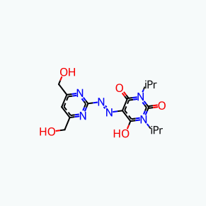 CC(C)n1c(O)c(N=Nc2nc(CO)cc(CO)n2)c(=O)n(C(C)C)c1=O